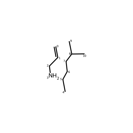 C=CCN.CCCCC(C)C